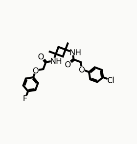 CC1(NC(=O)COc2ccc(F)cc2)CC(C)(NC(=O)COc2ccc(Cl)cc2)C1